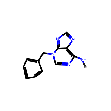 CCNc1ncn(Cc2ccccc2)c2ncnc1-2